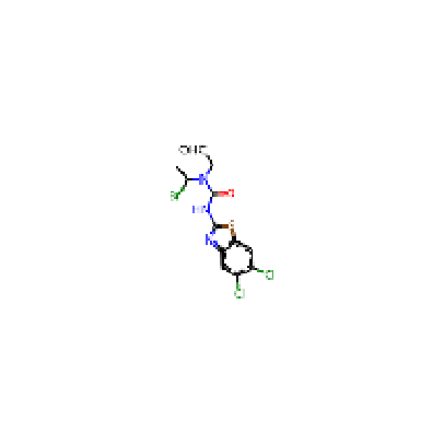 CC(Br)N(CC=O)C(=O)Nc1nc2cc(Cl)c(Cl)cc2s1